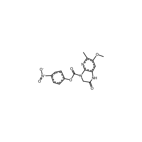 COc1cc2c(nc1C)N(C(=O)Oc1ccc([N+](=O)[O-])cc1)CC(=O)N2